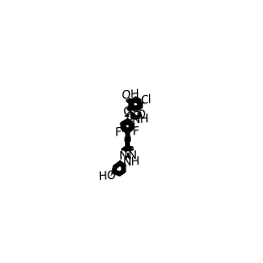 COc1c(CO)cc(Cl)cc1S(=O)(=O)Nc1ccc(F)c(C#Cc2cnc(N[C@H]3CC[C@@H](O)CC3)nc2)c1F